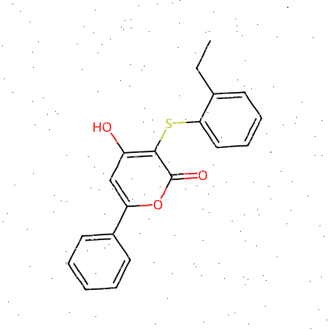 CCc1ccccc1Sc1c(O)cc(-c2ccccc2)oc1=O